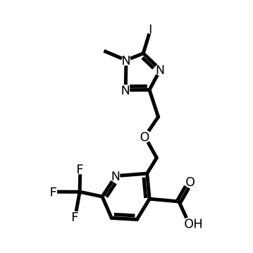 Cn1nc(COCc2nc(C(F)(F)F)ccc2C(=O)O)nc1I